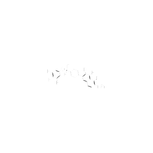 CCCc1ccc2cc(C3CCC(C(F)(F)Oc4cc(F)c(F)c(F)c4)CC3)c(F)c(F)c2c1F